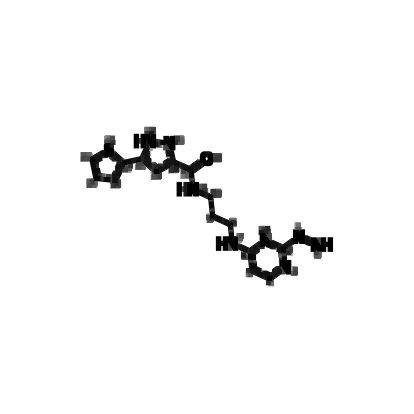 N=Nc1nccc(NCCCNC(=O)c2cc(-c3cccs3)[nH]n2)n1